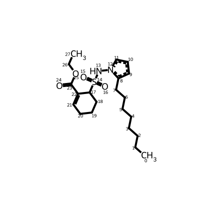 CCCCCCCCc1cccn1NS(=O)(=O)C1CCCC=C1C(=O)OCC